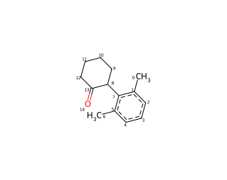 Cc1cccc(C)c1C1CCCCC1=O